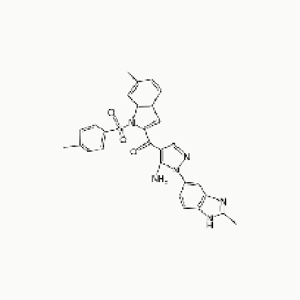 Cc1ccc(S(=O)(=O)n2c(C(=O)c3cnn(-c4ccc5[nH]c(C)nc5c4)c3N)cc3ccc(C)cc32)cc1